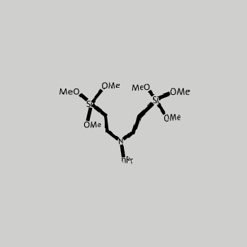 CCCN(CC[Si](OC)(OC)OC)CC[Si](OC)(OC)OC